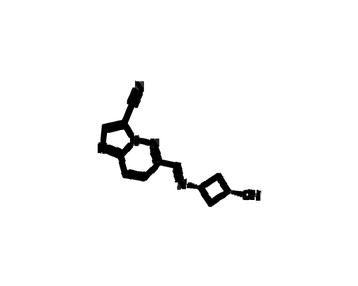 N#Cc1cnc2ccc(C=N[C@H]3C[C@@H](O)C3)nn12